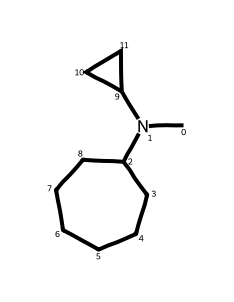 CN(C1CCCCCC1)C1CC1